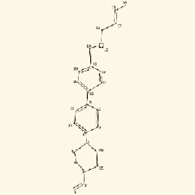 C=CC1CCC(c2ccc(-c3ccc(COCC=CC)cc3)cc2)CC1